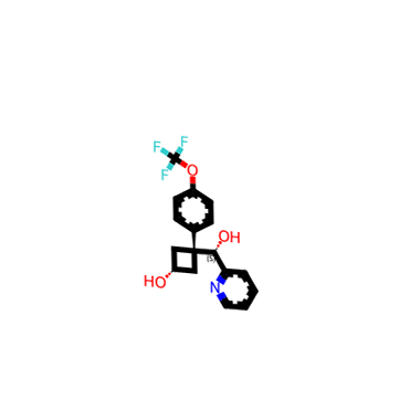 O[C@H](c1ccccn1)[C@]1(c2ccc(OC(F)(F)F)cc2)C[C@H](O)C1